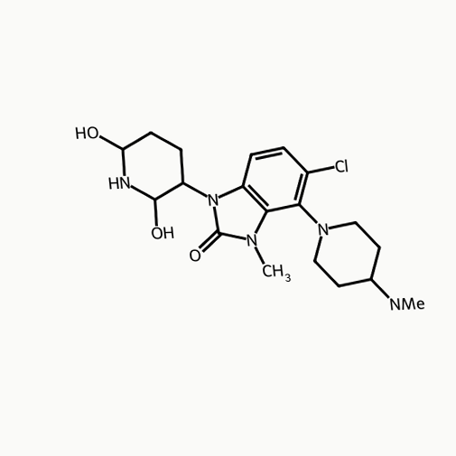 CNC1CCN(c2c(Cl)ccc3c2n(C)c(=O)n3C2CCC(O)NC2O)CC1